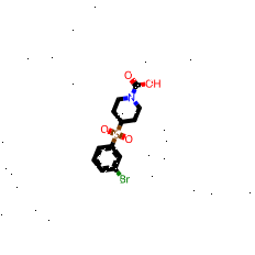 O=C(O)N1CCC(S(=O)(=O)c2cccc(Br)c2)CC1